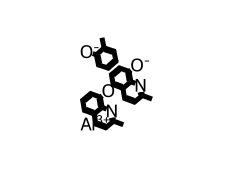 Cc1ccc2cccc([O-])c2n1.Cc1ccc2cccc([O-])c2n1.Cc1ccccc1[O-].[Al+3]